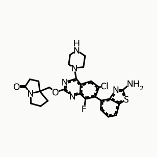 Nc1nc2c(-c3c(Cl)cc4c(N5CCNCC5)nc(OCC56CCCN5C(=O)CC6)nc4c3F)cccc2s1